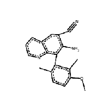 COc1ccc(C)c(-c2c(N)c(C#N)cc3cccnc23)c1C